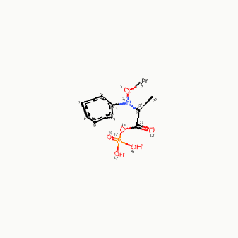 CC(C)ON(c1ccccc1)[C@@H](C)C(=O)OP(=O)(O)O